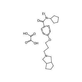 CCN(C(=O)c1ccc(OCCCN2CC3CCCC3C2)cc1)C1CCCC1.O=C(O)C(=O)O